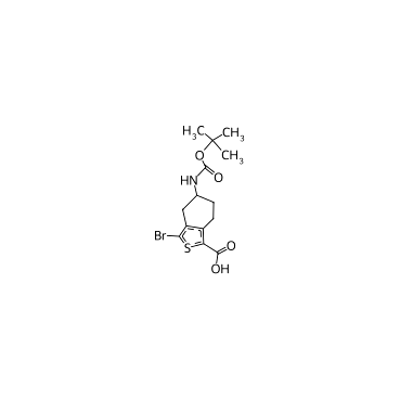 CC(C)(C)OC(=O)NC1CCc2c(C(=O)O)sc(Br)c2C1